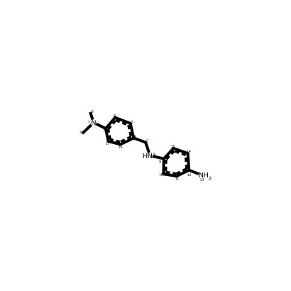 CN(C)c1ccc(CNc2ccc(N)cc2)cc1